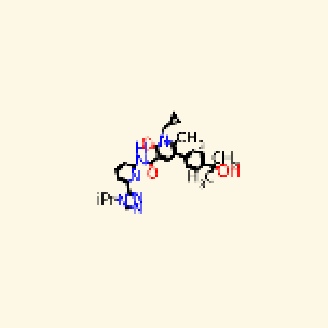 Cc1c(-c2ccc(C(C)(C)O)cc2)cc(C(=O)Nc2cccc(-c3nncn3C(C)C)n2)c(=O)n1CC1CC1